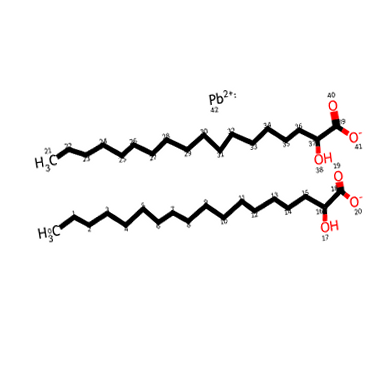 CCCCCCCCCCCCCCCCC(O)C(=O)[O-].CCCCCCCCCCCCCCCCC(O)C(=O)[O-].[Pb+2]